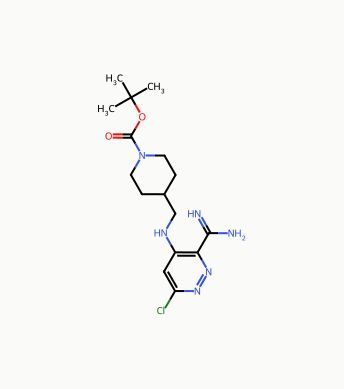 CC(C)(C)OC(=O)N1CCC(CNc2cc(Cl)nnc2C(=N)N)CC1